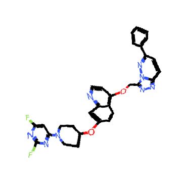 Fc1cc(N2CCC(Oc3ccc4c(OCc5nnc6ccc(-c7ccccc7)nn56)ccnc4c3)CC2)nc(F)n1